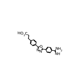 N=C(N)c1ccc(-c2nnc(-c3ccc(CCC(=O)O)cc3)o2)cc1